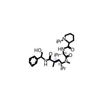 C/C(=C\[C@H](C(C)C)N(C)C(=O)[C@@H](NC(=O)C1CCCCN1C(C)C)C(C)C)C(=O)NC(CO)c1ccccc1